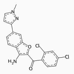 Cn1ccc(-c2ccc3c(N)c(C(=O)c4ccc(Cl)cc4Cl)oc3c2)n1